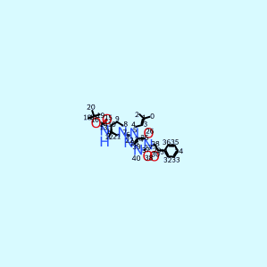 CC(C)=CCn1c(N2CCCC(C)(NC(=O)OC(C)(C)C)C2)nc2c1c(=O)n(CC(=O)c1ccccc1)c(=O)n2C